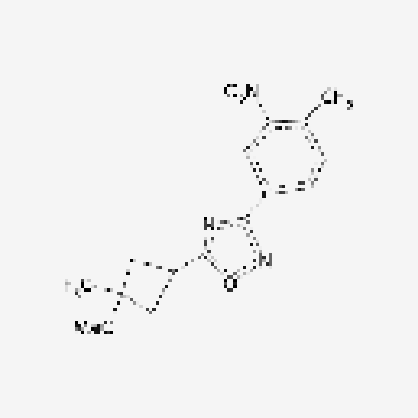 COC1(C(F)(F)F)CC(c2nc(-c3ccc(C)c([N+](=O)[O-])c3)no2)C1